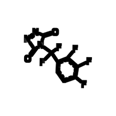 O=C1N=NC(=O)N1C(F)(F)c1ccc(F)c(F)c1F